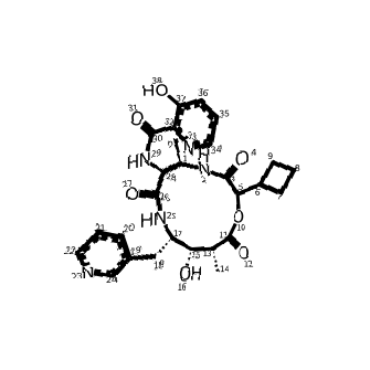 C[C@H]1NC(=O)C(C2CCC2)OC(=O)[C@H](C)[C@H](O)[C@H](Cc2cccnc2)NC(=O)[C@H]1NC(=O)c1ncccc1O